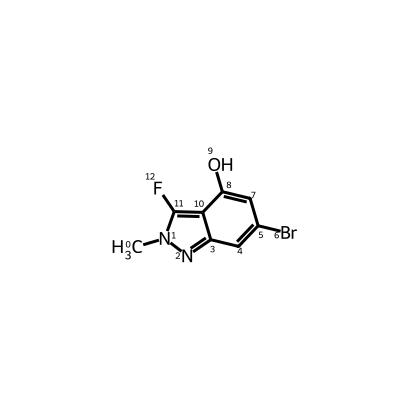 Cn1nc2cc(Br)cc(O)c2c1F